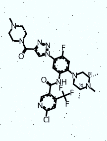 C[C@@H]1CN(c2cc(F)c(-n3cc(C(=O)N4CCN(C)CC4)nn3)cc2NC(=O)c2cnc(Cl)cc2C(F)(F)F)C[C@H](C)N1C